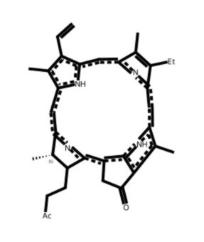 C=Cc1c(C)c2cc3nc(c4c5[nH]c(cc6nc(cc1[nH]2)C(C)=C6CC)c(C)c5C(=O)C4)C(CCC(C)=O)[C@@H]3C